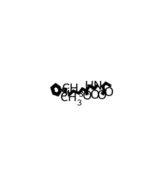 C[Si](C)(CCCCC(=O)CC(=O)NC1CCOC1=O)c1ccccc1